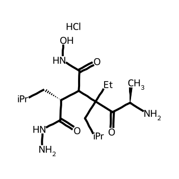 CCC(CC(C)C)(C(=O)[C@@H](C)N)C(C(=O)NO)[C@@H](CC(C)C)C(=O)NN.Cl